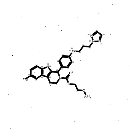 COCCOC(=O)N1CCc2c([nH]c3ccc(Cl)cc23)C1c1ccc(OCCCn2nccn2)cc1